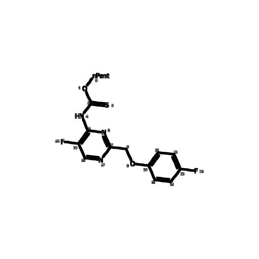 CCCCCOC(=S)Nc1nc(COc2ccc(F)cc2)ncc1F